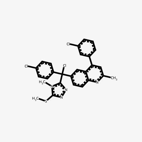 CSc1nnc(C(Cl)(c2ccc(Cl)cc2)c2ccc3nc(C)cc(-c4cccc(Cl)c4)c3c2)n1C